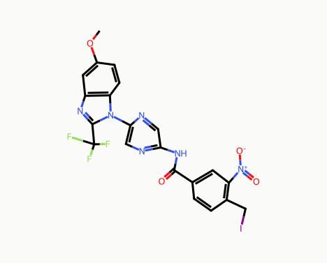 COc1ccc2c(c1)nc(C(F)(F)F)n2-c1cnc(NC(=O)c2ccc(CI)c([N+](=O)[O-])c2)cn1